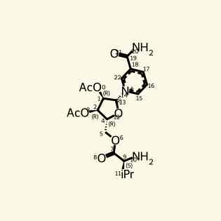 CC(=O)O[C@@H]1[C@H](OC(C)=O)[C@@H](COC(=O)[C@@H](N)C(C)C)O[C@H]1[n+]1cccc(C(N)=O)c1